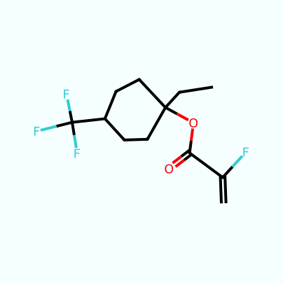 C=C(F)C(=O)OC1(CC)CCC(C(F)(F)F)CC1